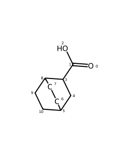 O=C(O)C1CC2CC[C]1CC2